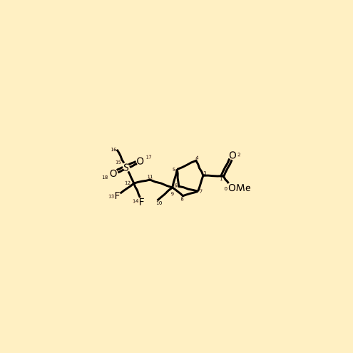 COC(=O)C1CC2CC1CC2(C)CC(F)(F)S(C)(=O)=O